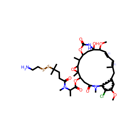 COc1cc2cc(c1Cl)N(C)C(=O)CC(OC(=O)C(C)N(C)C(=O)CCC(C)(C)SSCCN)C1(C)OC1C(C)C1CC(O)(NC(=O)O1)C(OC)/C=C/C=C(\C)C2